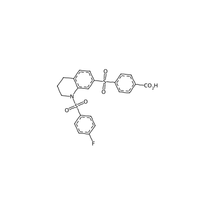 O=C(O)c1ccc(S(=O)(=O)c2ccc3c(c2)N(S(=O)(=O)c2ccc(F)cc2)CCC3)cc1